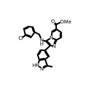 COC(=O)c1ccc2nc(-c3ccc4[nH]nc(C)c4c3)c(NCc3cccc(Cl)c3)n2c1